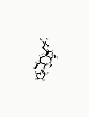 C=C=C1NCC(CC(F)(F)F)=C1CC(C=C)CN1CCCC1